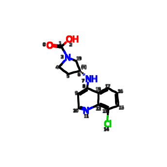 O=C(O)N1CC[C@@H](Nc2ccnc3c(Cl)cccc23)C1